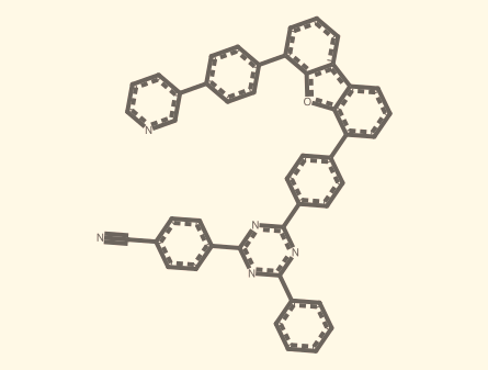 N#Cc1ccc(-c2nc(-c3ccccc3)nc(-c3ccc(-c4cccc5c4oc4c(-c6ccc(-c7cccnc7)cc6)cccc45)cc3)n2)cc1